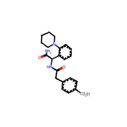 CCOC(=O)c1ccc(CC(=O)NC(C(N)=O)c2ccccc2N2CCCCC2)cc1